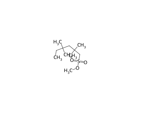 CCC(C)(C)CC(C)(C)CS(=O)(=O)OC